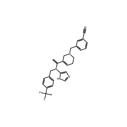 C=C(C1=CCCN(Cc2cccc(C#N)c2)C1)N(Cc1ccc(C(F)(F)F)cc1)c1cnc[nH]1